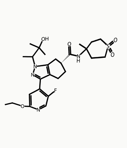 CCOc1cc(-c2nn(C(C)C(C)(C)O)c3c2CC[C@@H](C(=O)NC2(C)CCS(=O)(=O)CC2)C3)c(F)cn1